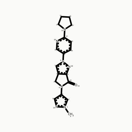 Cn1cc(N2Cc3cn(-c4ccc(N5CCCC5)nc4)nc3C2=O)cn1